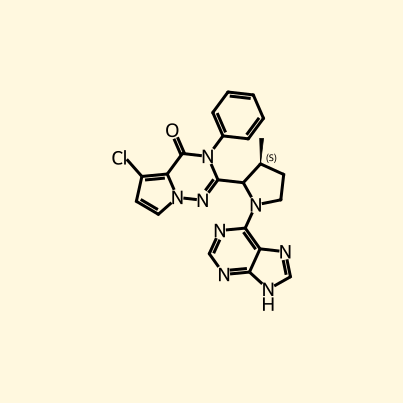 C[C@H]1CCN(c2ncnc3[nH]cnc23)C1c1nn2ccc(Cl)c2c(=O)n1-c1ccccc1